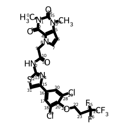 Cn1c(=O)c2c(ccn2CC(=O)Nc2nc(-c3cc(Cl)c(OCCC(F)(F)C(F)(F)F)c(Cl)c3)cs2)n(C)c1=O